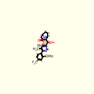 COc1cc(C(F)(F)F)ccc1-c1nnc(C(O)C2CCC3CCC2N3C(=O)OC(C)(C)C)cc1C